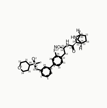 CS(=O)(=Nc1cccc(-c2ccc(C[C@@H](C#N)NC(=O)[C@H]3N[C@@H]4CC[C@H]3C4)c(F)c2)c1)C1CCOCC1